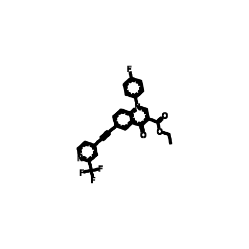 CCOC(=O)c1cn(-c2ccc(F)cc2)c2ccc(C#Cc3ccnc(C(F)(F)F)c3)cc2c1=O